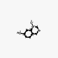 [O-][n+]1cncc2ccc(O)cc21